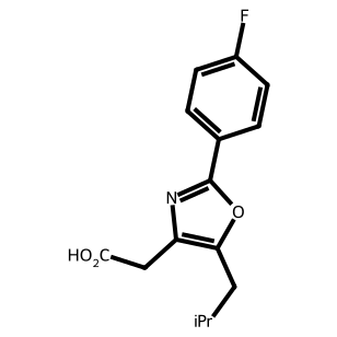 CC(C)Cc1oc(-c2ccc(F)cc2)nc1CC(=O)O